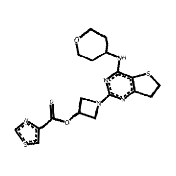 O=C(OC1CN(c2nc3c(c(NC4CCOCC4)n2)SCC3)C1)c1cscn1